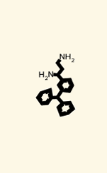 NCCC(N)c1cccc([C](c2ccccc2)c2ccccc2)c1